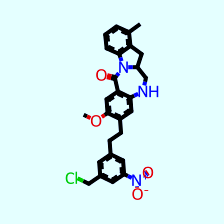 COc1cc2c(cc1CCc1cc(CCl)cc([N+](=O)[O-])c1)NCC1Cc3c(C)cccc3N1C2=O